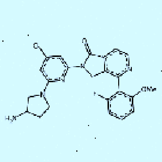 COc1cccc(F)c1-c1nccc2c1CN(c1cc(Cl)cc(N3CCC(N)C3)n1)C2=O